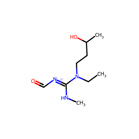 CCN(CCC(C)O)/C(=N/C=O)NC